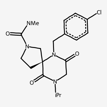 CNC(=O)N1CC[C@]2(C1)C(=O)N(C(C)C)CC(=O)N2Cc1ccc(Cl)cc1